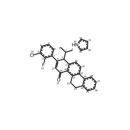 CC(C)C1C(c2cccc(Cl)c2F)=CC(=O)c2c1ccc1c2CCc2ccccc2-1.c1cc[nH]c1